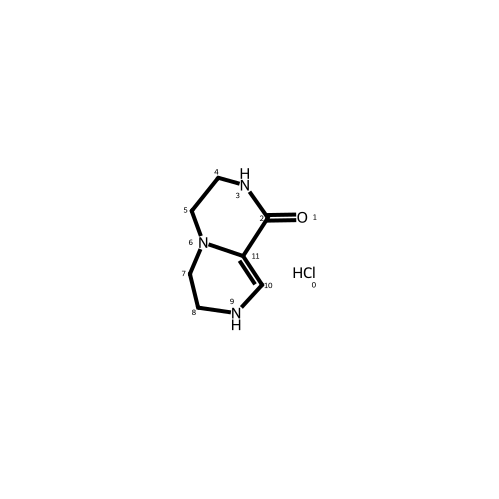 Cl.O=C1NCCN2CCNC=C12